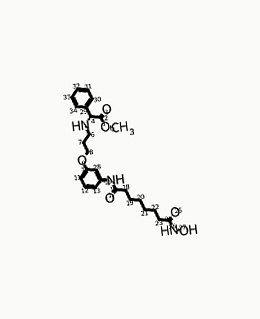 COC(=O)[C@@H](NCCCOc1cccc(NC(=O)CCCCCCC(=O)NO)c1)c1ccccc1